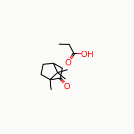 CC12CCC(CC1=O)C2(C)C.CCC(=O)O